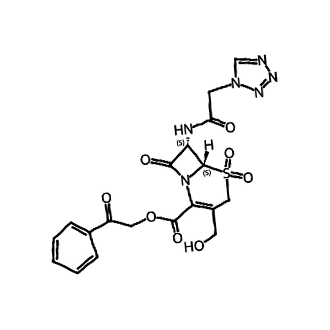 O=C(Cn1cnnn1)N[C@H]1C(=O)N2C(C(=O)OCC(=O)c3ccccc3)=C(CO)CS(=O)(=O)[C@@H]12